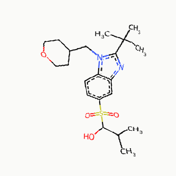 CC(C)C(O)S(=O)(=O)c1ccc2c(c1)nc(C(C)(C)C)n2CC1CCOCC1